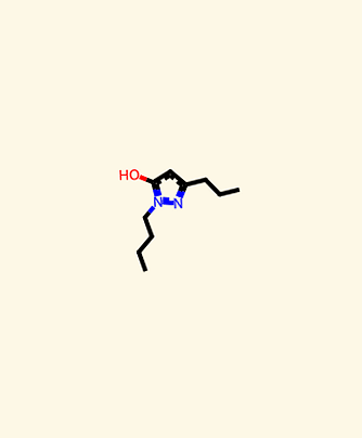 CCCCn1nc(CCC)cc1O